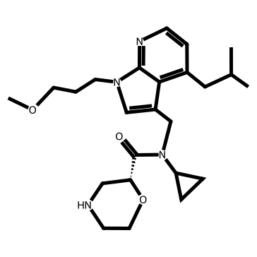 COCCCn1cc(CN(C(=O)[C@H]2CNCCO2)C2CC2)c2c(CC(C)C)ccnc21